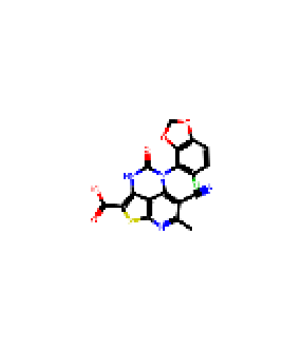 Cc1nc2sc(C(=O)O)c3c2c(c1C#N)N(c1c(Cl)ccc2c1OCO2)C(=O)N3